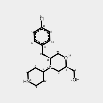 OC[C@H]1CN(C2CCNCC2)[C@@H](Cc2ccc(Cl)cc2)CO1